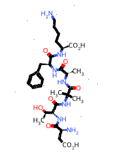 C[C@H](NC(=O)C(C)(C)NC(=O)[C@@H](NC(=O)[C@@H](N)CC(=O)O)[C@@H](C)O)C(=O)N[C@@H](Cc1ccccc1)C(=O)N[C@@H](CCCCN)C(=O)O